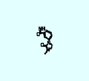 CN1CCN(c2cccc(C(N)=O)c2)C1=O